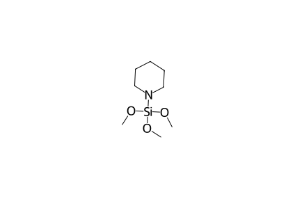 CO[Si](OC)(OC)N1CCCCC1